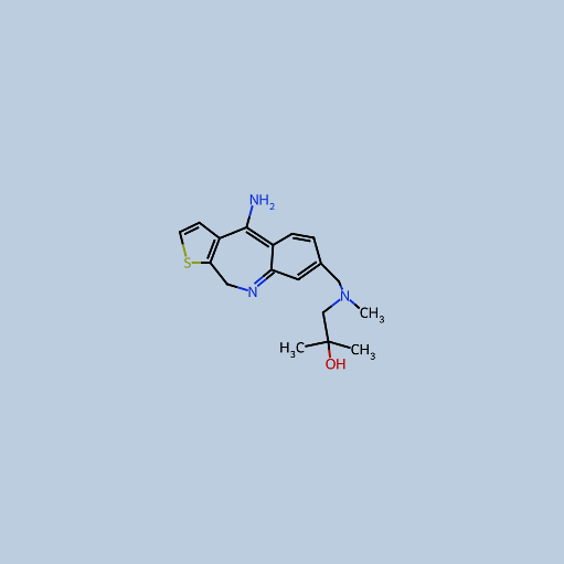 CN(Cc1ccc2c(c1)=NCc1sccc1C=2N)CC(C)(C)O